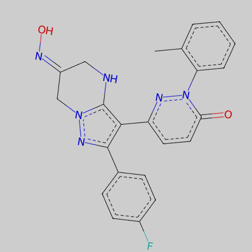 Cc1ccccc1-n1nc(-c2c(-c3ccc(F)cc3)nn3c2NCC(=NO)C3)ccc1=O